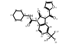 O=C(c1ccco1)C1C(=O)N(C(=O)NC2CCCCC2)c2cnc(C(F)(F)F)cc21